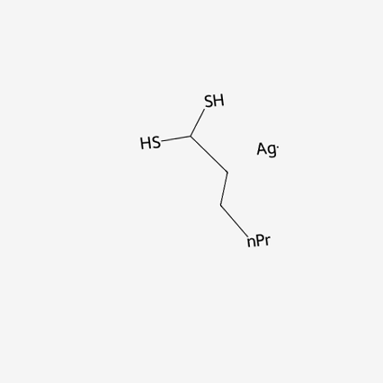 CCCCCC(S)S.[Ag]